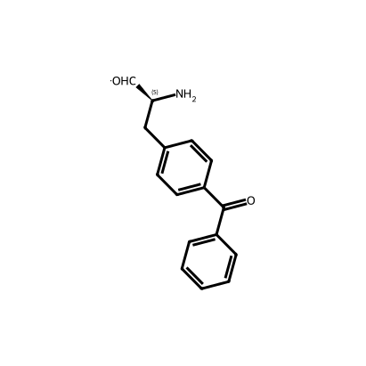 N[C@H]([C]=O)Cc1ccc(C(=O)c2ccccc2)cc1